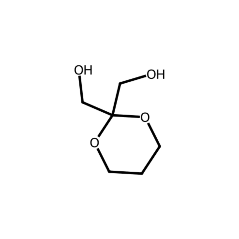 OCC1(CO)OCCCO1